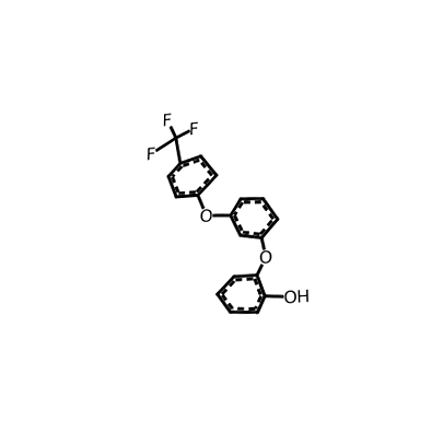 Oc1ccccc1Oc1cccc(Oc2ccc(C(F)(F)F)cc2)c1